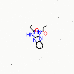 CCC(=O)Nc1nc2ccccc2nc1NC(=O)CC